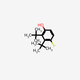 CC(C)(C)c1c(O)ccc([S])c1C(C)(C)C